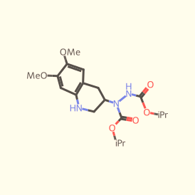 COc1cc2c(cc1OC)NCC(N(NC(=O)OC(C)C)C(=O)OC(C)C)C2